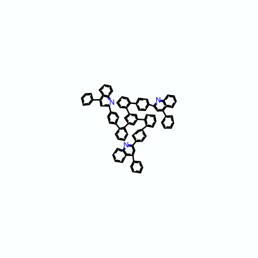 c1ccc(-c2cc(-c3ccc(-c4ccccc4-c4cc(-c5ccccc5-c5ccc(-c6cc(-c7ccccc7)c7ccccc7n6)cc5)cc(-c5ccccc5-c5ccc(-c6cc(-c7ccccc7)c7ccccc7n6)cc5)c4)cc3)nc3ccccc23)cc1